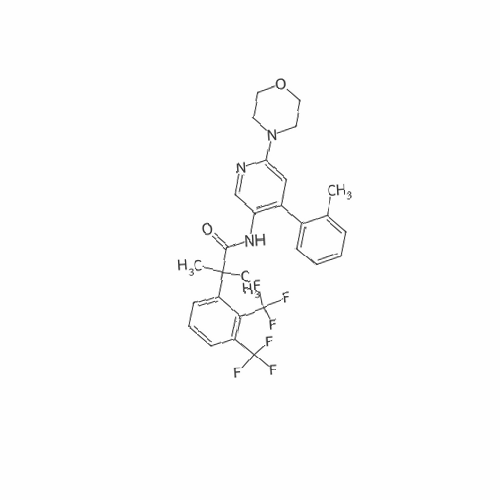 Cc1ccccc1-c1cc(N2CCOCC2)ncc1NC(=O)C(C)(C)c1cccc(C(F)(F)F)c1C(F)(F)F